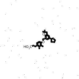 Cc1c(CCC(=O)O)ccc(OCc2cc(C3CCCC3)cc3c2OC(C)(C)C3)c1C